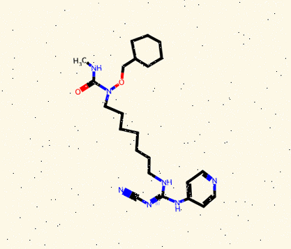 CNC(=O)N(CCCCCCCN/C(=N\C#N)Nc1ccncc1)OCC1CCCCC1